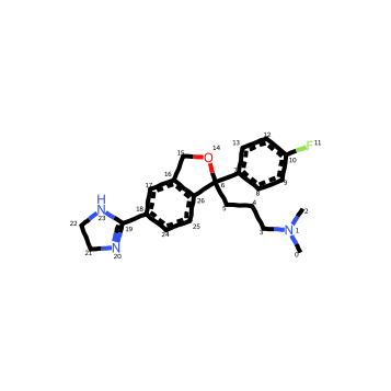 CN(C)CCCC1(c2ccc(F)cc2)OCc2cc(C3=NCCN3)ccc21